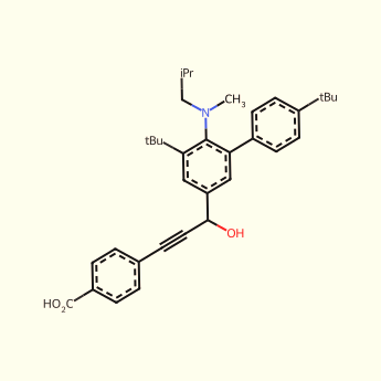 CC(C)CN(C)c1c(-c2ccc(C(C)(C)C)cc2)cc(C(O)C#Cc2ccc(C(=O)O)cc2)cc1C(C)(C)C